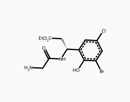 CCOC(=O)C[C@@H](NC(=O)CN)c1cc(Cl)cc(Br)c1O